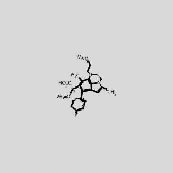 COCCN1CCn2c(C)cc3c(-c4ccc(F)cc4)c([C@H](OC(C)(C)C)C(=O)O)c(C)c1c32